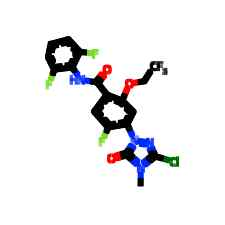 Cn1c(Cl)nn(-c2cc(OCC(F)(F)F)c(C(=O)Nc3c(F)cccc3F)cc2F)c1=O